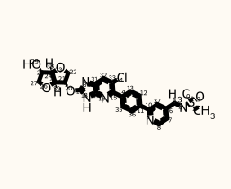 CS(C)(=O)=NCc1ccnc(-c2ccc(-c3nc4[nH]c(O[C@@H]5CO[C@H]6[C@@H]5OC[C@H]6O)nc4cc3Cl)cc2)c1